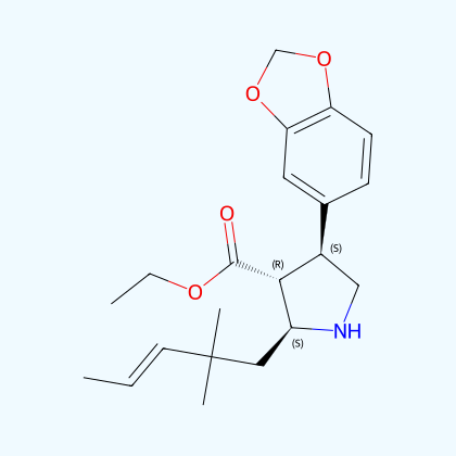 CC=CC(C)(C)C[C@@H]1NC[C@H](c2ccc3c(c2)OCO3)[C@H]1C(=O)OCC